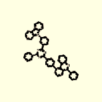 c1ccc(-c2nc(-c3ccc(-c4cccc5c(-c6ccccc6)nc6ccccc6c45)cc3)nc(-c3cccc(-n4c5ccccc5c5ccccc54)c3)n2)cc1